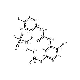 Cc1ccc(NC(=O)Nc2cc(CN(C)CCN(C)S(C)(=O)=O)ccc2F)cn1